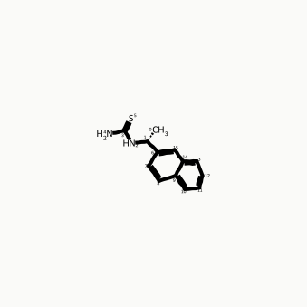 C[C@@H](NC(N)=S)c1ccc2ccccc2c1